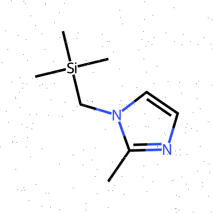 Cc1nccn1C[Si](C)(C)C